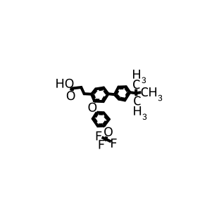 CC(C)(C)c1ccc(-c2ccc(CCC(=O)O)c(Oc3ccc(OC(F)(F)F)cc3)c2)cc1